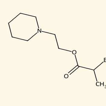 CC(Br)C(=O)OCCN1CCCCC1